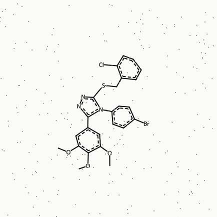 COc1cc(-c2nnc(SCc3ccccc3Cl)n2-c2ccc(Br)cc2)cc(OC)c1OC